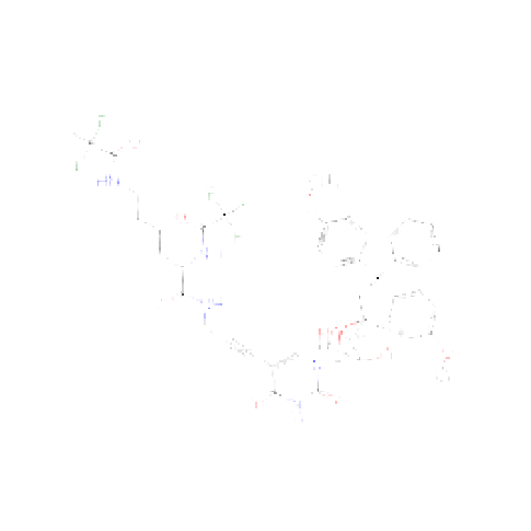 COc1ccc(C(CC23COC([C@H](n4cc(C#CCNC(=O)C(CCCCNC(=O)C(F)(F)F)NC(=O)C(F)(F)F)c(=O)[nH]c4=O)O2)[C@H]3O)(c2ccccc2)c2ccc(OC)cc2)cc1